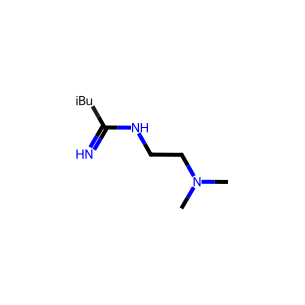 CCC(C)C(=N)NCCN(C)C